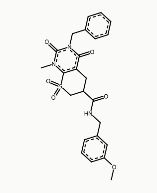 COc1cccc(CNC(=O)C2Cc3c(n(C)c(=O)n(Cc4ccccc4)c3=O)S(=O)(=O)C2)c1